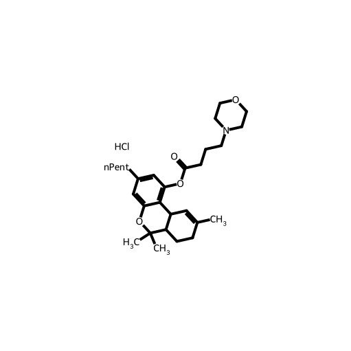 CCCCCc1cc(OC(=O)CCCN2CCOCC2)c2c(c1)OC(C)(C)C1CCC(C)=CC21.Cl